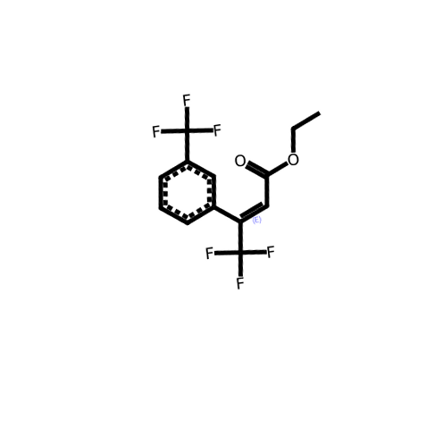 CCOC(=O)/C=C(\c1cccc(C(F)(F)F)c1)C(F)(F)F